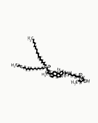 CCCCCCCCCCCCCCCCCCN(CCCCCCCCCCCCCCCCCC)C(=O)CC[C@@H](C)[C@H]1CCC2C3CC[C@@H]4C[C@H](OC(=O)NCCCCCC(=O)N5C[C@H](O)C[C@H]5C)CC[C@]4(C)C3CC[C@@]21C